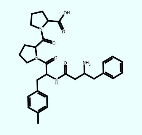 Cc1ccc(CC(NC(=O)CC(N)Cc2ccccc2)C(=O)N2CCCC2C(=O)N2CCCC2C(=O)O)cc1